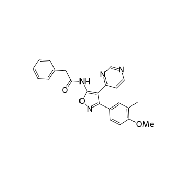 COc1ccc(-c2noc(NC(=O)Cc3ccccc3)c2-c2ccncn2)cc1C